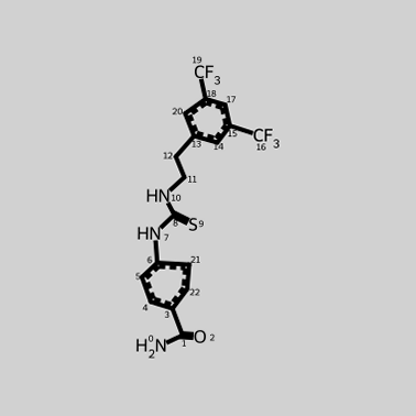 NC(=O)c1ccc(NC(=S)NCCc2cc(C(F)(F)F)cc(C(F)(F)F)c2)cc1